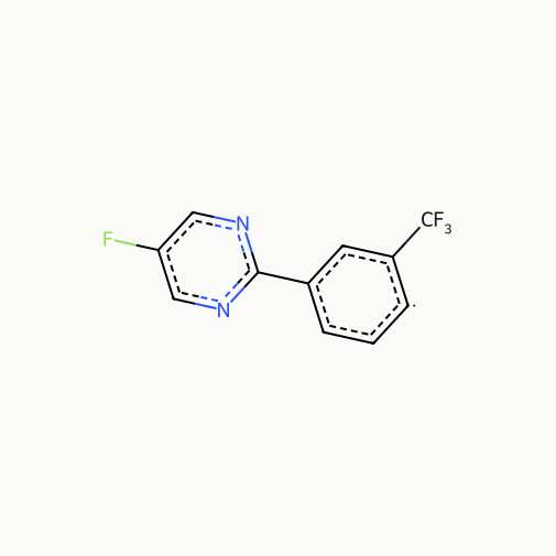 Fc1cnc(-c2cc[c]c(C(F)(F)F)c2)nc1